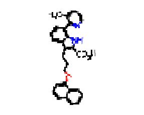 Cc1cccnc1-c1cccc2c(CCCOc3cccc4ccccc34)c(C(=O)O)[nH]c12